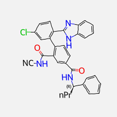 CCC[C@@H](NC(=O)c1ccc(-c2cc(Cl)ccc2-c2nc3ccccc3[nH]2)c(C(=O)NC#N)c1)c1ccccc1